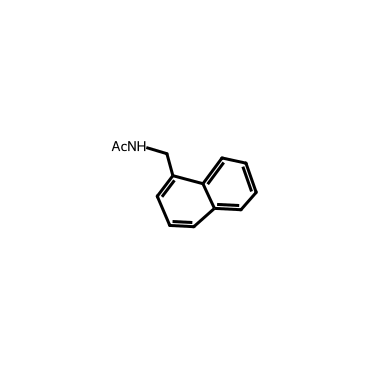 CC(=O)NCc1cccc2ccccc12